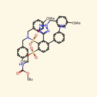 COc1ccc(CN(Cc2ccc(OC)cc2)S(=O)(=O)c2c(S(=O)(=O)CCNC(=O)OC(C)(C)C)ccc(-c3cccc(N)c3)c2-c2nnn(Cc3ccc(OC)cc3)n2)cc1